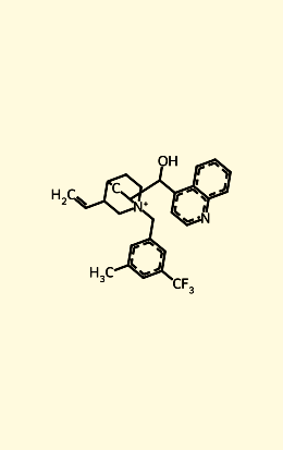 C=CC1C[N+]2(Cc3cc(C)cc(C(F)(F)F)c3)CCC1CC2C(O)c1ccnc2ccccc12